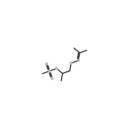 CC(C)=NOCC(C)OS(C)(=O)=O